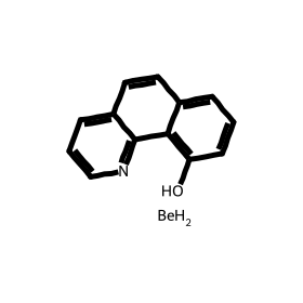 Oc1cccc2ccc3cccnc3c12.[BeH2]